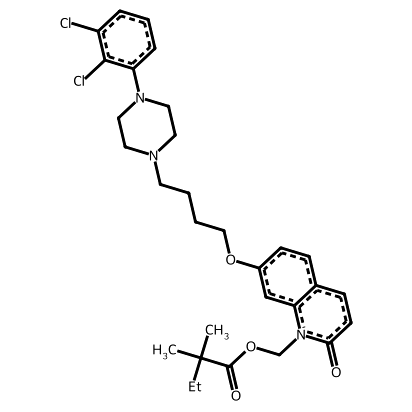 CCC(C)(C)C(=O)OCn1c(=O)ccc2ccc(OCCCCN3CCN(c4cccc(Cl)c4Cl)CC3)cc21